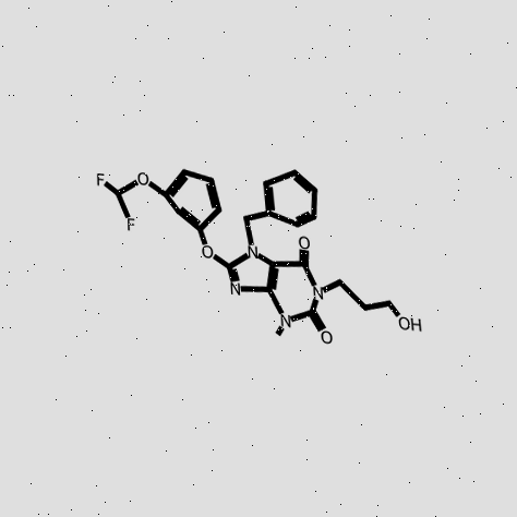 Cn1c(=O)n(CCCO)c(=O)c2c1nc(Oc1cccc(OC(F)F)c1)n2Cc1ccccc1